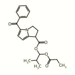 CCC(=O)OC(OC(=O)C1CCn2c(C(=O)c3ccccc3)ccc21)C(C)C